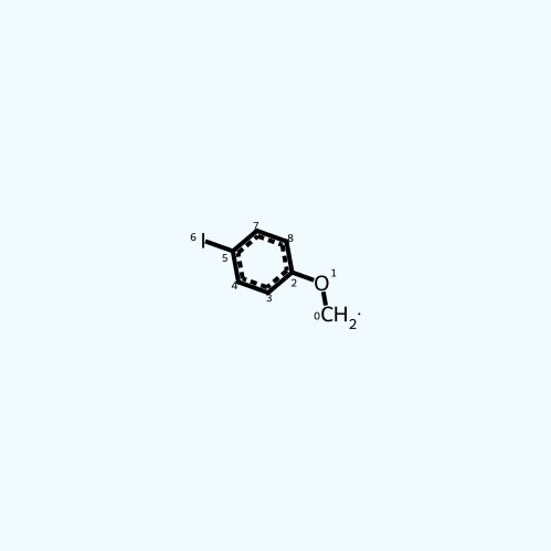 [CH2]Oc1ccc(I)cc1